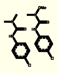 CN(C)C(=O)Nc1ccc(Cl)cc1.CON(C)C(=O)Nc1ccc(Cl)cc1